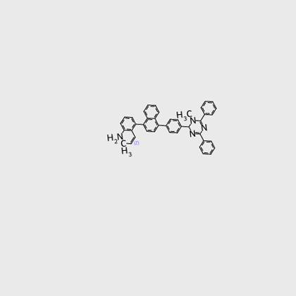 C/C=C\c1c(N)cccc1-c1ccc(-c2ccc(C3N=C(c4ccccc4)N=C(c4ccccc4)N3C)cc2)c2ccccc12